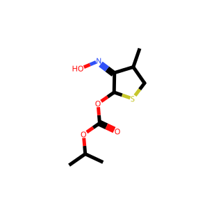 CC(C)OC(=O)OC1SCC(C)C1=NO